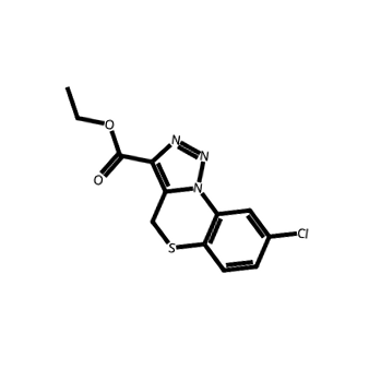 CCOC(=O)c1nnn2c1CSc1ccc(Cl)cc1-2